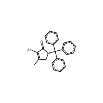 CC(=O)C1=C(C)CN(C(c2ccccc2)(c2ccccc2)c2ccccc2)C1=O